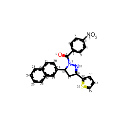 O=C(c1ccc([N+](=O)[O-])cc1)N1N=C(c2cccs2)CC1c1ccc2ccccc2c1